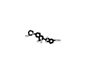 COc1ccc2nc(-c3cc4ccc(N5CCCC(O)C5)cc4c(=O)[nH]3)sc2c1